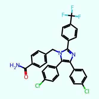 NC(=O)c1ccc(Cn2c(-c3ccc(C(F)(F)F)cc3)nc(-c3ccc(Cl)cc3)c2-c2ccc(Cl)cc2)cc1